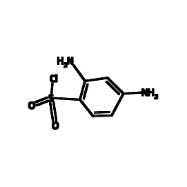 Nc1ccc(S(=O)(=O)Cl)c(N)c1